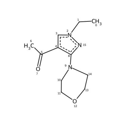 CCn1cc(C(C)=O)c(N2CCOCC2)n1